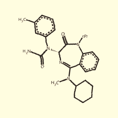 CCCN1C(=O)[C@@H](N(C(N)=O)c2cccc(C)c2)N=C(N(C)C2CCCCC2)c2ccccc21